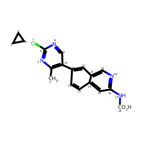 C1CC1.Cc1nc(Cl)ncc1-c1ccc2cc(NC(=O)O)ncc2c1